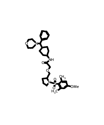 COc1cc(C)c(S(=O)(=O)N2CCCC2COCC(=O)NC2CCC(C(c3ccccc3)N3CCOCC3)CC2)c(C)c1